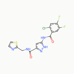 O=C(NCc1nccs1)c1cc(NC(=O)c2cc(F)c(F)cc2Cl)[nH]n1